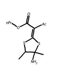 CCCOC(=O)C(C(C)=O)=C1SC(C)C(C)(N)S1